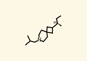 CC[C@@H](C)C1CC2(CCN(CC(C)C)CC2)C1